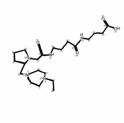 CC[15N]1CC[15N](CC2CCC[15N]2CC(=O)NCCCC(=O)NCCCC(=O)O)CC1